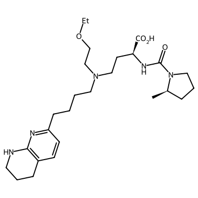 CCOCCN(CCCCc1ccc2c(n1)NCCC2)CC[C@H](NC(=O)N1CCC[C@H]1C)C(=O)O